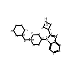 c1ccc2c(c1)nc(C1CNC1)n2C1CCN(CC2CCCCC2)CC1